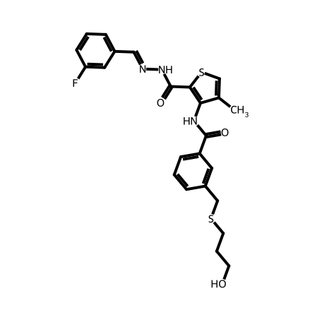 Cc1csc(C(=O)NN=Cc2cccc(F)c2)c1NC(=O)c1cccc(CSCCCO)c1